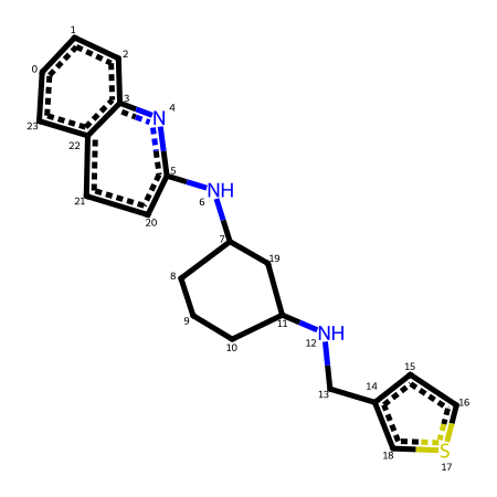 c1ccc2nc(NC3CCCC(NCc4ccsc4)C3)ccc2c1